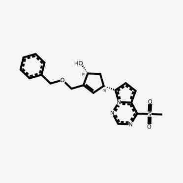 CS(=O)(=O)c1ncnn2c([C@@H]3C=C(COCc4ccccc4)[C@H](O)C3)ccc12